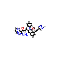 CC(CC(=O)c1c(N)nn2cccnc12)c1cc2cccc(C#Cc3cnn(C)c3)c2c(=O)n1-c1ccccc1